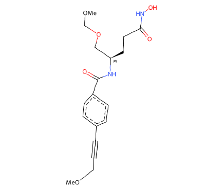 COCC#Cc1ccc(C(=O)N[C@H](CCC(=O)NO)COCOC)cc1